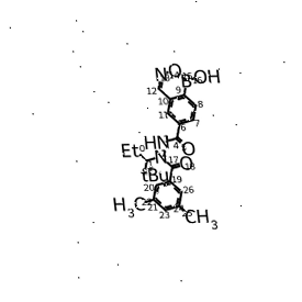 CC[C@@H](N(NC(=O)c1ccc2c(c1)C=NOB2O)C(=O)c1cc(C)cc(C)c1)C(C)(C)C